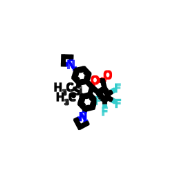 C[Si]1(C)c2cc(N3CCC3)ccc2C2(OC(=O)c3c(F)c(F)c(F)c(F)c32)c2ccc(N3CCC3)cc21